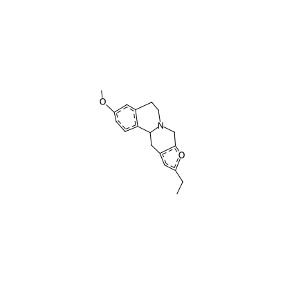 CCc1cc2c(o1)CN1CCc3cc(OC)ccc3C1C2